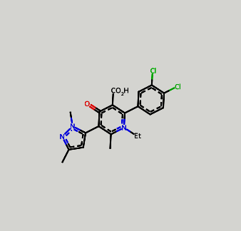 CCn1c(C)c(-c2cc(C)nn2C)c(=O)c(C(=O)O)c1-c1ccc(Cl)c(Cl)c1